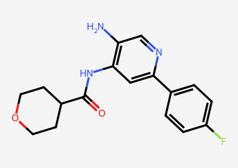 Nc1cnc(-c2ccc(F)cc2)cc1NC(=O)C1CCOCC1